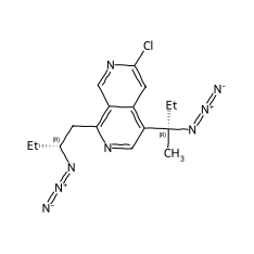 CC[C@H](Cc1ncc([C@@](C)(CC)N=[N+]=[N-])c2cc(Cl)ncc12)N=[N+]=[N-]